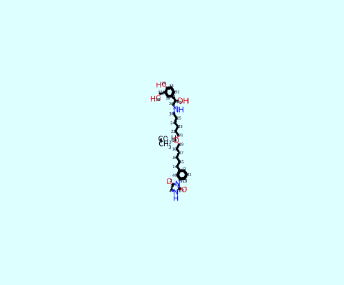 CC(=O)O.O=C1CNC(=O)N1c1cccc(CCCCCCOCCCCCCNC[C@H](O)c2ccc(O)c(CO)c2)c1